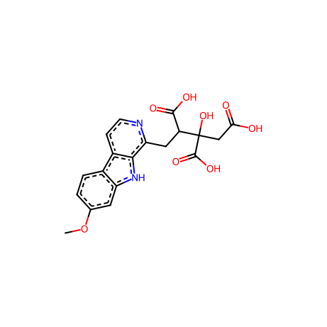 COc1ccc2c(c1)[nH]c1c(CC(C(=O)O)C(O)(CC(=O)O)C(=O)O)nccc12